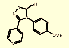 COc1ccc(N2C(c3ccncc3)=NNC2S)cc1